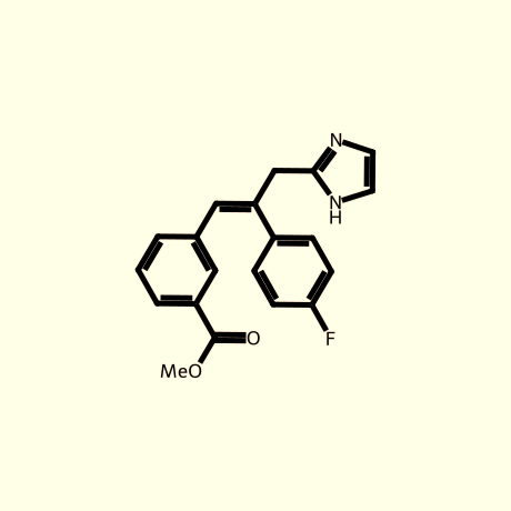 COC(=O)c1cccc(C=C(Cc2ncc[nH]2)c2ccc(F)cc2)c1